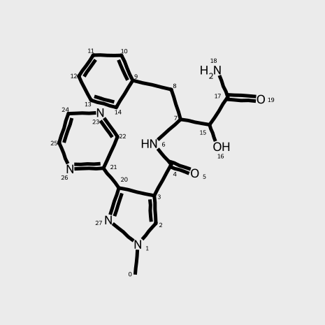 Cn1cc(C(=O)NC(Cc2ccccc2)C(O)C(N)=O)c(-c2cnccn2)n1